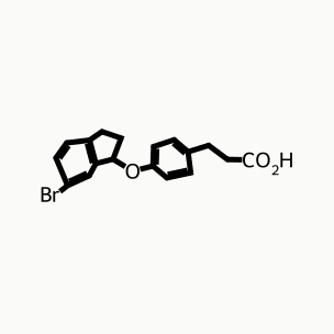 O=C(O)CCc1ccc(OC2CCc3ccc(Br)cc32)cc1